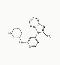 Nc1nc2ccccc2n1-c1cc(NC2CCCNC2)ncn1